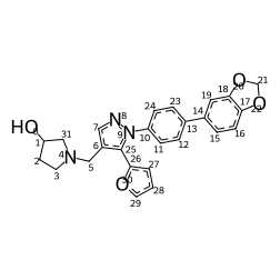 OC1CCN(Cc2cnn(-c3ccc(-c4ccc5c(c4)OCO5)cc3)c2-c2ccco2)C1